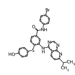 CC(C)c1ccc2c(Nc3cc(C(=O)Nc4ccc(Br)cc4)ccc3Sc3ccc(O)cc3)ncnc2n1